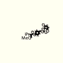 COCC(C(=O)Oc1ccc(COC(=O)ON2C(=O)CCC2=O)cc1)C(C)C